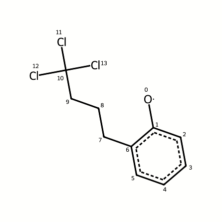 [O]c1ccccc1CCCC(Cl)(Cl)Cl